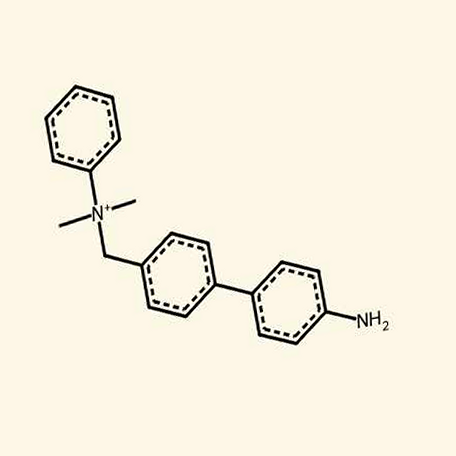 C[N+](C)(Cc1ccc(-c2ccc(N)cc2)cc1)c1ccccc1